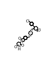 COC1(C)CCC(c2ccc(Cl)cc2)=C(CN2CCN(Cc3ccc4c(c3)CN(C3CCC(=O)NC3=O)C4=O)CC2)C1